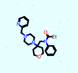 CCC(=O)N(CC1(N2CCN(Cc3ccccn3)CC2)CCOCC1)c1ccccc1